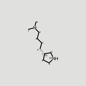 CN(C)CCCC[C@H]1CCNC1